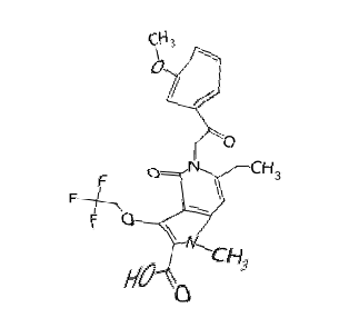 CCc1cc2c(c(OCC(F)(F)F)c(C(=O)O)n2C)c(=O)n1CC(=O)c1cccc(OC)c1